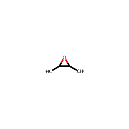 [CH]C1OC1[CH]